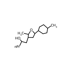 CCCC(O)CC1CC(C2CCC(C)CC2)OC1C